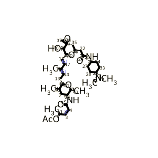 CC(=O)OC(C)/C=C\C(=O)N[C@@H]1C[C@H](C)[C@H](C/C=C(C)/C=C/[C@H]2O[C@H](CC(=O)N[C@H]3CC[C@H](N(C)C)CC3)C[C@@]3(CO3)[C@@H]2O)O[C@@H]1C